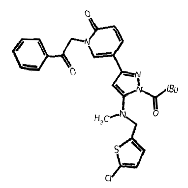 CN(Cc1ccc(Cl)s1)c1cc(-c2ccc(=O)n(CC(=O)c3ccccc3)c2)nn1C(=O)C(C)(C)C